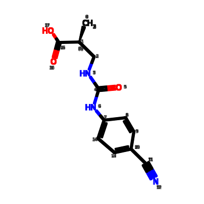 C[C@@H](CNC(=O)Nc1ccc(C#N)cc1)C(=O)O